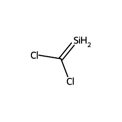 [SiH2]=C(Cl)Cl